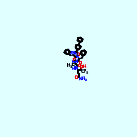 C[C@H](NC(=O)[C@H](Cc1ccccc1)NC(=O)[C@H](Cc1ccccc1)NC(=O)c1ccc(-c2ccccc2)cc1)C(=O)NC(CCC(N)=O)C(O)C(F)(F)F